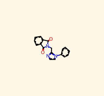 O=C1c2ccccc2C(=O)N1Cc1nccn1-c1ccccc1